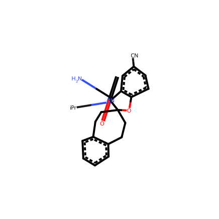 CC(C)N1C(=O)C2(N=C1N)c1cc(C#N)ccc1OC21CCc2ccccc2CC1